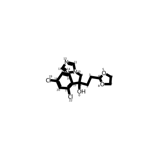 OC(CCC1OCCO1)(Cn1cncn1)c1ccc(Cl)cc1Cl